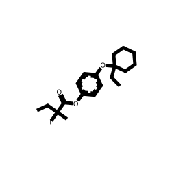 CCC1(Oc2ccc(OC(=O)C(C)(I)CC)cc2)CCCCC1